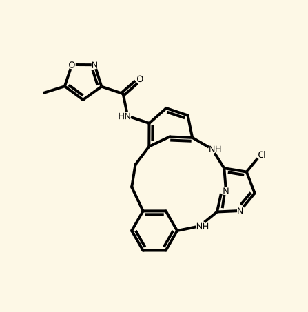 Cc1cc(C(=O)Nc2ccc3cc2CCc2cccc(c2)Nc2ncc(Cl)c(n2)N3)no1